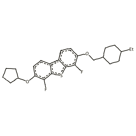 CCC1CCC(COc2ccc3c(sc4c(F)c(OC5CCCC5)ccc43)c2F)CC1